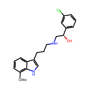 COc1cccc2c(CCCNC[C@H](O)c3cccc(Cl)c3)c[nH]c12